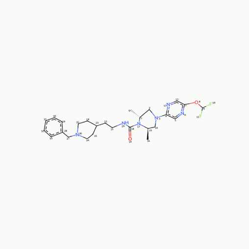 C[C@@H]1CN(c2cnc(OC(F)F)cn2)C[C@@H](C)N1C(=O)NCCC1CCN(Cc2ccccc2)CC1